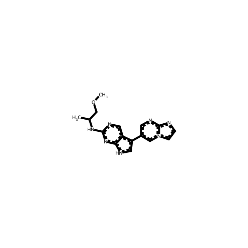 COCC(C)Nc1ncc2c(-c3cnc4nccn4c3)c[nH]c2n1